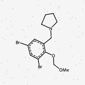 COCOc1c(Br)cc(Br)cc1CN1CCCC1